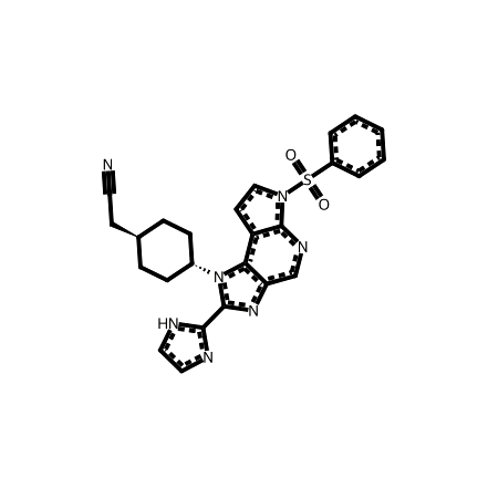 N#CC[C@H]1CC[C@H](n2c(-c3ncc[nH]3)nc3cnc4c(ccn4S(=O)(=O)c4ccccc4)c32)CC1